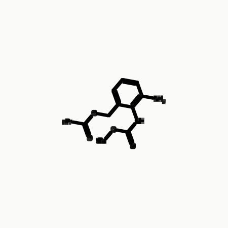 CCCC(=O)OCc1cccc(N)c1NC(=O)OC(C)(C)C